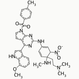 CNC1(CCN(C)C)C=CC(Nc2nc(-c3c[nH]c4c(OC)cccc34)c3ccn(S(=O)(=O)c4ccc(C)cc4)c3n2)=CC1[N+](=O)[O-]